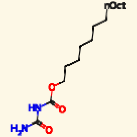 CCCCCCCCCCCCCCCOC(=O)NC(N)=O